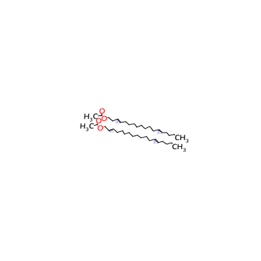 CCCC/C=C/CCCCCCCC/C=C/CCOC(C)=O.CCCC/C=C/CCCCCCCCC/C=C/COC(C)=O